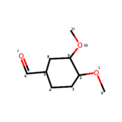 COC1CCC(C=O)CC1OC